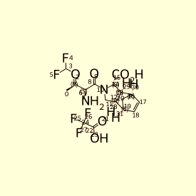 C[C@@H](OC(F)F)[C@H](N)C(=O)N1C[C@H]2[C@@H]([C@H]1C(=O)O)[C@H]1C=C[C@@H]2C1.O=C(O)C(F)(F)F